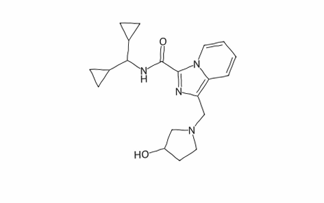 O=C(NC(C1CC1)C1CC1)c1nc(CN2CCC(O)C2)c2ccccn12